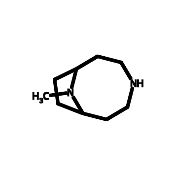 CN1C2CCNCCC1CC2